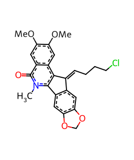 COc1cc2c3c(n(C)c(=O)c2cc1OC)-c1cc2c(cc1/C3=C\CCCCl)OCO2